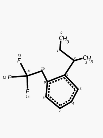 CCC(C)c1ccccc1CC(F)(F)F